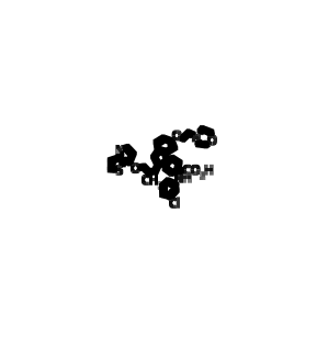 C[C@@H](COc1ccnc2ccsc12)CC1Cc2ccc(OCCN3CCOCC3)cc2C12CCC(Nc1cccc(Cl)c1)(C(=O)O)CC2